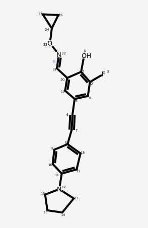 Oc1c(F)cc(C#Cc2ccc(N3CCCC3)cc2)cc1/C=N/OC1CC1